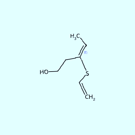 C=CS/C(=C/C)CCO